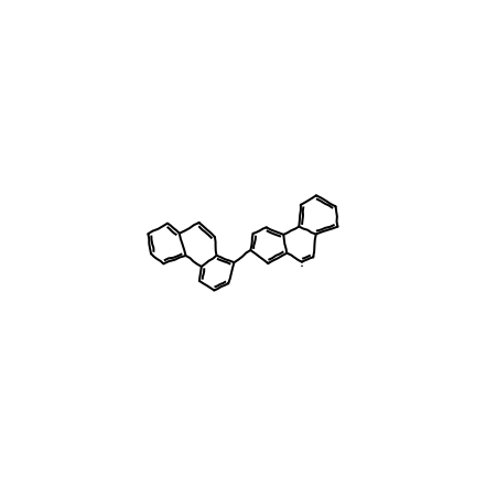 [c]1cc2ccccc2c2ccc(-c3cccc4c3ccc3ccccc34)cc12